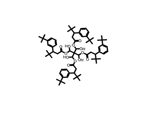 CC(C)(C)c1cccc(C(CC(=O)OC(O)C(C(O)OC(=O)CC(c2cccc(C(C)(C)C)c2)C(C)(C)C)(C(O)OC(=O)CC(c2cccc(C(C)(C)C)c2)C(C)(C)C)C(O)OC(=O)CC(c2cccc(C(C)(C)C)c2)C(C)(C)C)C(C)(C)C)c1